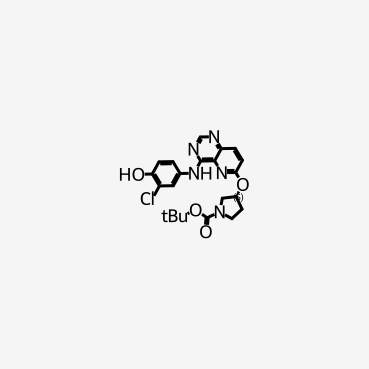 CC(C)(C)OC(=O)N1CC[C@H](Oc2ccc3ncnc(Nc4ccc(O)c(Cl)c4)c3n2)C1